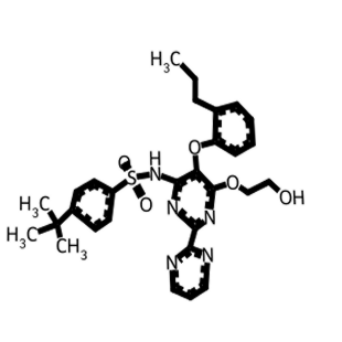 CCCc1ccccc1Oc1c(NS(=O)(=O)c2ccc(C(C)(C)C)cc2)nc(-c2ncccn2)nc1OCCO